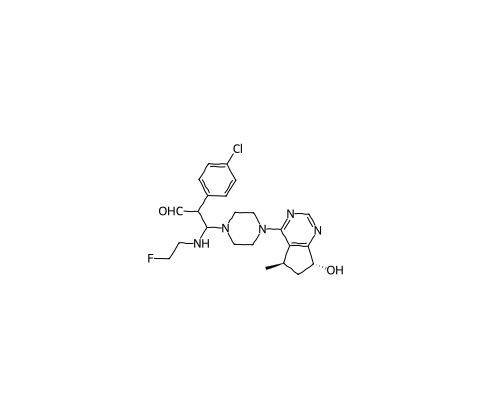 C[C@@H]1C[C@@H](O)c2ncnc(N3CCN(C(NCCF)C(C=O)c4ccc(Cl)cc4)CC3)c21